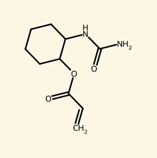 C=CC(=O)OC1CCCCC1NC(N)=O